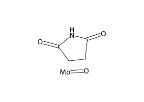 O=C1CCC(=O)N1.[O]=[Mo]